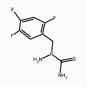 NC(=S)N(N)Cc1cc(F)c(F)cc1F